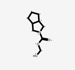 O=C(OCO)N1CC2CCCC2C1